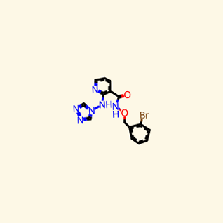 O=C(NOCc1ccccc1Br)c1cccnc1Nn1cnnc1